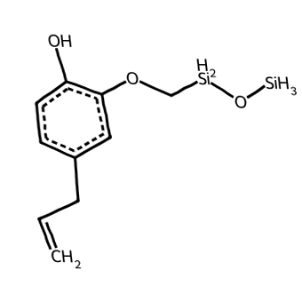 C=CCc1ccc(O)c(OC[SiH2]O[SiH3])c1